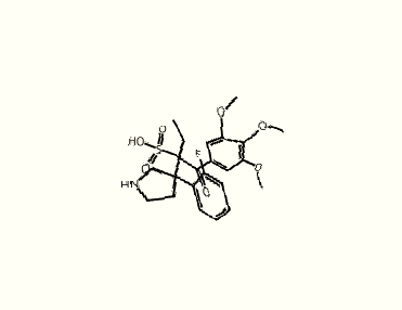 CCC(C(=O)c1cc(OC)c(OC)c(OC)c1)(C1(c2ccccc2F)CCNC1)S(=O)(=O)O